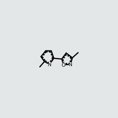 Cc1cc(-c2cccc(C)n2)on1